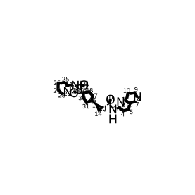 O=C(Nc1ccc2cnccc2n1)[C@@H]1CC1c1ccc(S(=O)(=O)Nc2ccccn2)cc1